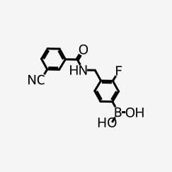 N#Cc1cccc(C(=O)NCc2ccc(B(O)O)cc2F)c1